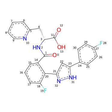 O=C(N[C@H](Cc1ccccn1)C(=O)O)c1cccc(F)c1-c1cc(-c2ccc(F)cc2)[nH]n1